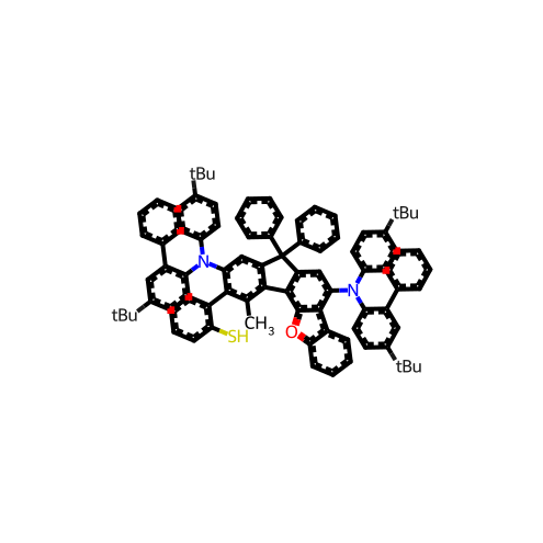 Cc1c(-c2ccccc2S)c(N(c2ccc(C(C)(C)C)cc2)c2ccc(C(C)(C)C)cc2-c2ccccc2)cc2c1-c1c(cc(N(c3ccc(C(C)(C)C)cc3)c3ccc(C(C)(C)C)cc3-c3ccccc3)c3c1oc1ccccc13)C2(c1ccccc1)c1ccccc1